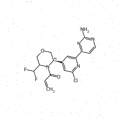 C=CC(=O)N1C(C(F)F)COC[C@H]1c1cc(Cl)nc(-c2ccnc(N)n2)c1